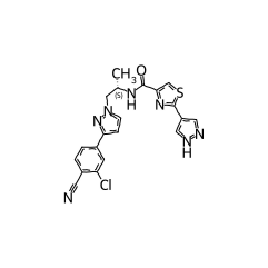 C[C@@H](Cn1ccc(-c2ccc(C#N)c(Cl)c2)n1)NC(=O)c1csc(-c2cn[nH]c2)n1